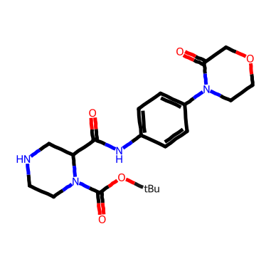 CC(C)(C)OC(=O)N1CCNCC1C(=O)Nc1ccc(N2CCOCC2=O)cc1